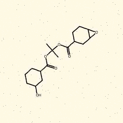 CC(C)(OC(=O)C1CCCC(O)C1)OC(=O)C1CCC2OC2C1